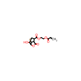 C=CC(=O)OCCOC(=O)C1C2SC3C(OC(=O)C31)C2O